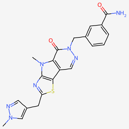 Cn1cc(Cc2nc3c(s2)c2cnn(Cc4cccc(C(N)=O)c4)c(=O)c2n3C)cn1